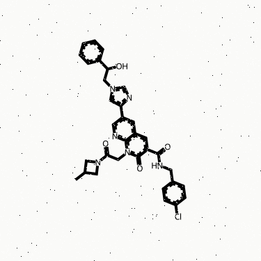 CC1CN(C(=O)Cn2c(=O)c(C(=O)NCc3ccc(Cl)cc3)cc3cc(-c4cn(CC(O)c5ccccc5)cn4)cnc32)C1